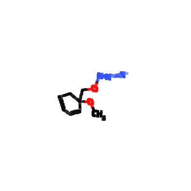 COC1(CON=[N+]=[N-])C=CC=CC1